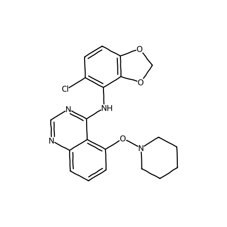 Clc1ccc2c(c1Nc1ncnc3cccc(ON4CCCCC4)c13)OCO2